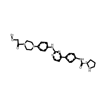 CCOCC(=O)N1CCN(c2ccc(Nc3nccc(-c4ccc(NC(=O)[C@H]5CCCN5)cc4)n3)cc2)CC1